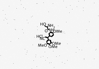 COc1ccc(C(=CC#N)c2cc(OC)c(OC)c(OC)c2)cc1NC(=O)C(N)CO.Cl